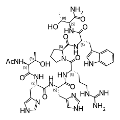 CC(=O)N[C@H](C(=O)N[C@@H](Cc1c[nH]cn1)C(=O)N[C@@H](Cc1c[nH]cn1)C(=O)N[C@@H](CCCNC(=N)N)C(=O)N1CCC[C@H]1C(=O)N[C@@H](Cc1c[nH]c2ccccc12)C(=O)N[C@H](C(N)=O)[C@@H](C)O)[C@@H](C)O